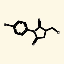 O=C1CC(CCl)C(=O)N1c1ccc(Br)cc1